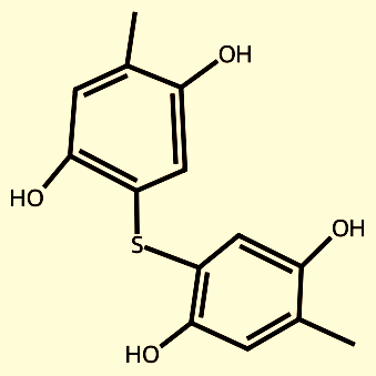 Cc1cc(O)c(Sc2cc(O)c(C)cc2O)cc1O